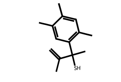 C=C(C)C(C)(S)c1cc(C)c(C)cc1C